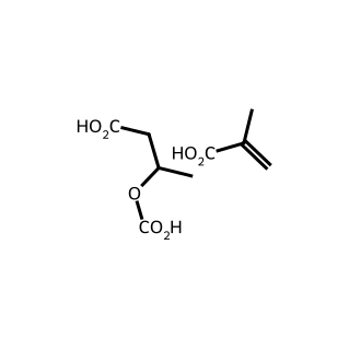 C=C(C)C(=O)O.CC(CC(=O)O)OC(=O)O